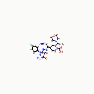 CC(C1CC(C(CC#N)n2cc(C(N)=O)c(Nc3ccc(F)cc3)n2)CCN1C(=O)O)N1CCOCC1